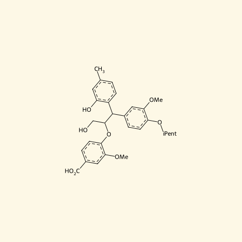 CCCC(C)Oc1ccc(C(c2ccc(C)cc2O)C(CO)Oc2ccc(C(=O)O)cc2OC)cc1OC